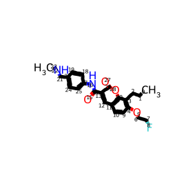 CCCc1c(OCCF)ccc2cc(C(=O)Nc3ccc(CNC)cc3)c(=O)oc12